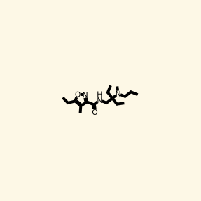 CCCN(C)C(CC)(CC)CNC(=O)c1noc(CC)c1C